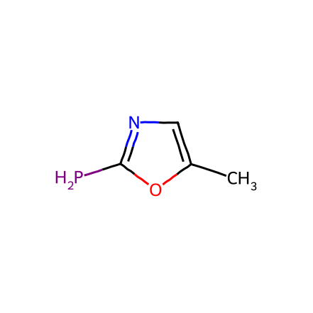 Cc1cnc(P)o1